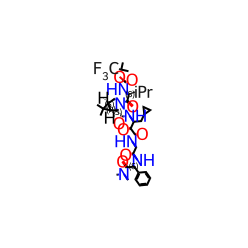 CC(C)[C@H](NC(=O)OC(C)(C)C(F)(F)F)C(=O)N1C[C@H]2[C@@H]([C@H]1C(=O)NC(CC1CC1)C(=O)C(=O)NCC(=O)N[C@H](C(=O)N(C)C)c1ccccc1)C2(C)C